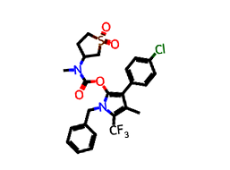 Cc1c(-c2ccc(Cl)cc2)c(OC(=O)N(C)C2CCS(=O)(=O)C2)n(Cc2ccccc2)c1C(F)(F)F